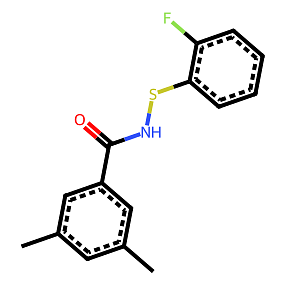 Cc1cc(C)cc(C(=O)NSc2ccccc2F)c1